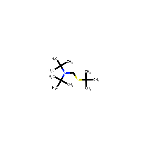 CC(C)(C)SCN(C(C)(C)C)C(C)(C)C